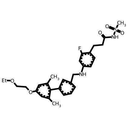 CCOCCOc1cc(C)c(-c2cccc(CNc3ccc(CCC(=O)NS(C)(=O)=O)c(F)c3)c2)c(C)c1